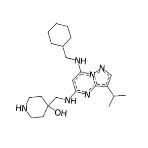 CC(C)c1cnn2c(NCC3CCCCC3)cc(NCC3(O)CCNCC3)nc12